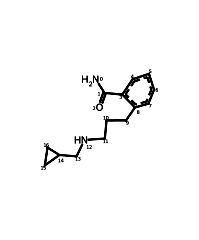 NC(=O)c1ccccc1CCCNCC1CC1